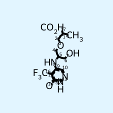 CC(COCC(CO)Nc1cn[nH]c(=O)c1C(F)(F)F)C(=O)O